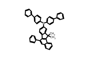 CC1(C)c2cc(N(c3ccc(-c4ccccc4)cc3)c3ccc(-c4ccccc4)cc3)ccc2-c2c(-c3ccccc3)cc3ccccc3c21